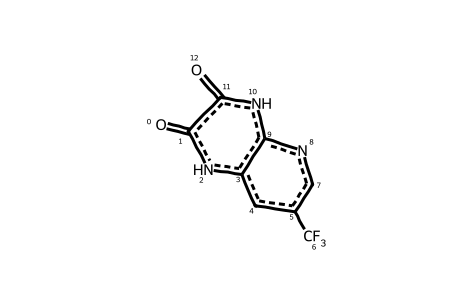 O=c1[nH]c2cc(C(F)(F)F)cnc2[nH]c1=O